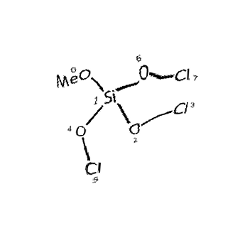 CO[Si](OCl)(OCl)OCl